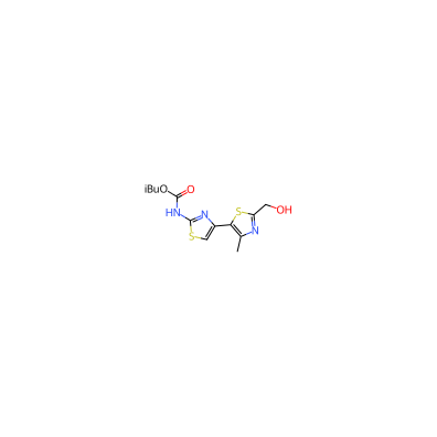 Cc1nc(CO)sc1-c1csc(NC(=O)OCC(C)C)n1